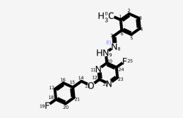 Cc1ccccc1/C=N/Nc1nc(OCc2ccc(F)cc2)ncc1F